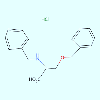 Cl.O=C(O)C(COCc1ccccc1)NCc1ccccc1